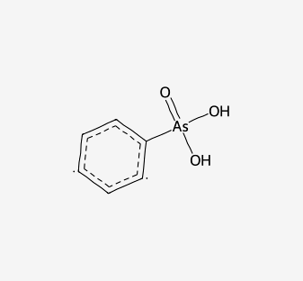 O=[As](O)(O)c1[c]c[c]cc1